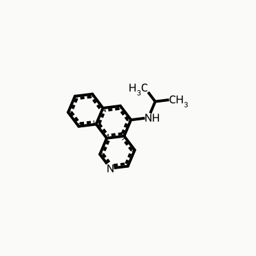 CC(C)Nc1cc2ccccc2c2cnccc12